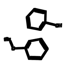 CC(C)(C)Oc1ccccc1.Oc1ccccc1